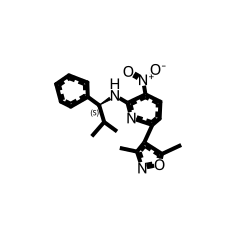 Cc1noc(C)c1-c1ccc([N+](=O)[O-])c(N[C@H](c2ccccc2)C(C)C)n1